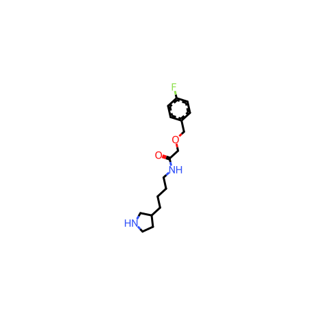 O=C(COCc1ccc(F)cc1)NCCCCC1CCNC1